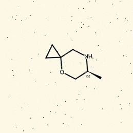 C[C@H]1COC2(CC2)CN1